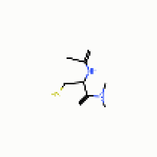 C=C(C)NC(CS)C(=C)N(C)C